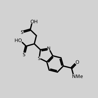 CNC(=O)c1ccc2sc(C(CC(O)=S)C(O)=S)nc2c1